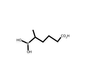 CC(CCCC(=O)O)B(O)O